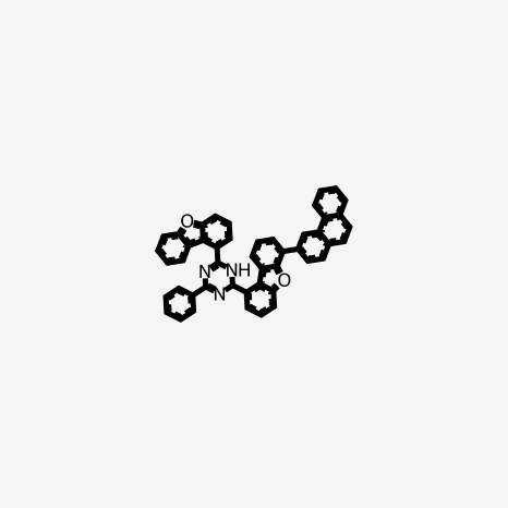 c1ccc(C2=NC(c3cccc4oc5c(-c6ccc7ccc8ccccc8c7c6)cccc5c34)NC(c3cccc4oc5ccccc5c34)=N2)cc1